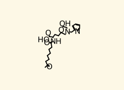 CC(=O)CCCCCCC(=O)NC(CCCCN(CC(=O)O)Cc1ccccn1)C(=O)O